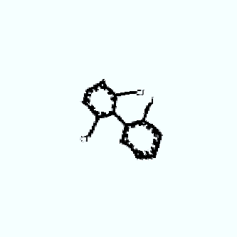 Clc1[c]ccc(Cl)c1-c1ccccc1I